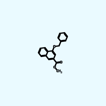 COC(=O)c1cc(OCc2ccccc2)c2ccccc2c1